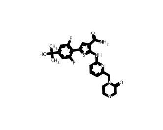 CC(C)(O)c1cc(F)c(-c2cc(C(N)=O)c(Nc3cccc(CN4CCOCC4=O)n3)s2)c(F)c1